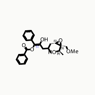 COC[C@@]1([C@@H](C)O)O[C@H]1CC(C)C/C(O)=C(\OC(=O)c1ccccc1)c1ccccc1